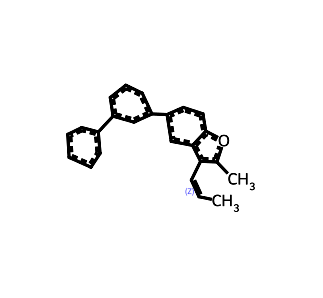 C/C=C\c1c(C)oc2ccc(-c3cccc(-c4ccccc4)c3)cc12